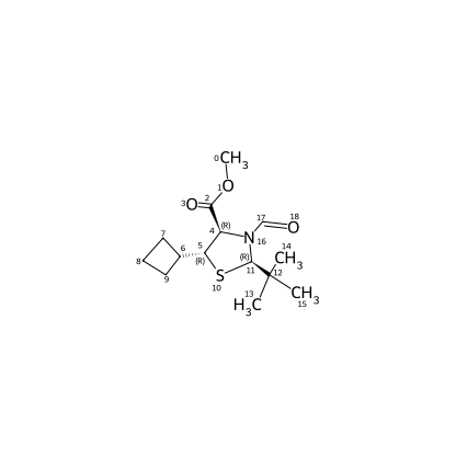 COC(=O)[C@@H]1[C@@H](C2CCC2)S[C@H](C(C)(C)C)N1C=O